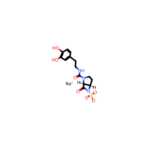 O=C(NCCc1ccc(O)c(O)c1)N1CC[C@@H]2[C@H]1C(=O)N2S(=O)(=O)[O-].[Na+]